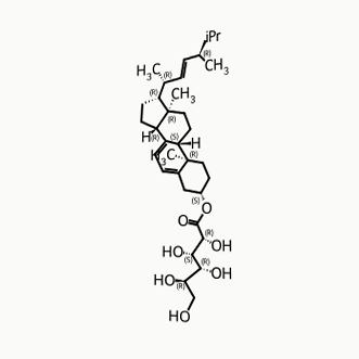 CC(C)[C@@H](C)C=C[C@@H](C)[C@H]1CC[C@H]2C3=CC=C4C[C@@H](OC(=O)[C@H](O)[C@@H](O)[C@H](O)[C@H](O)CO)CC[C@]4(C)[C@H]3CC[C@]12C